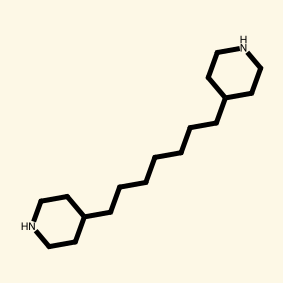 C(CCCC1CCNCC1)CCCC1CCNCC1